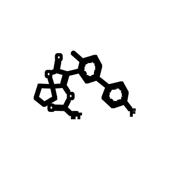 Cc1ccc(-c2ccc(F)cc2)cc1C1=C(OC(=O)C(C)C)C2(CCCC2)OC1=O